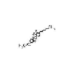 CCCCCCCc1ccc(OC(=O)c2ccc(OCCC)cc2F)c(F)c1F